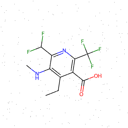 CCc1c(NC)c(C(F)F)nc(C(F)(F)F)c1C(=O)O